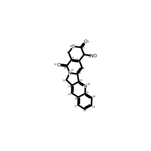 O=NC1C(=O)OCc2c1cc1n(c2=O)Cc2cc3ccccc3nc2-1